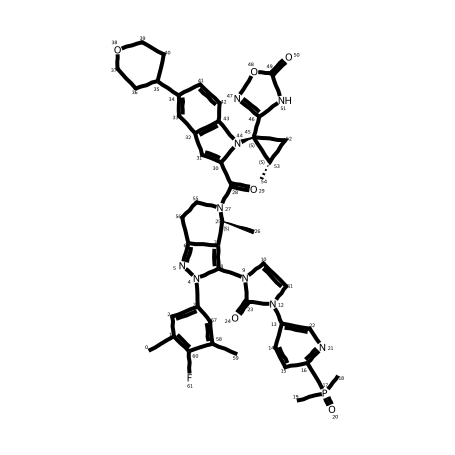 Cc1cc(-n2nc3c(c2-n2ccn(-c4ccc(P(C)(C)=O)nc4)c2=O)[C@H](C)N(C(=O)c2cc4cc(C5CCOCC5)ccc4n2[C@@]2(c4noc(=O)[nH]4)C[C@@H]2C)CC3)cc(C)c1F